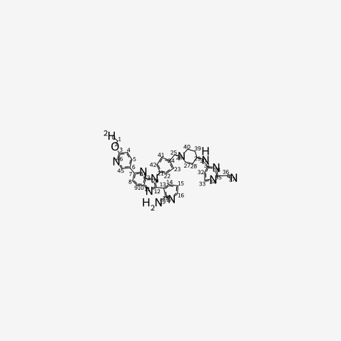 [2H]COc1ccc(-c2ccc3nc(-c4cccnc4N)n(-c4ccc(CN5CCC(Nc6ccnc(C#N)n6)CC5)cc4)c3n2)cn1